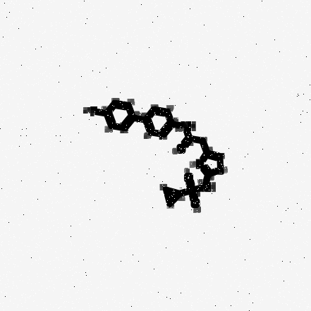 O=C(Cc1csc(NS(=O)(=O)C2CC2)n1)Nc1ccc(-c2ccc(F)cc2)cc1